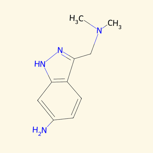 CN(C)Cc1n[nH]c2cc(N)ccc12